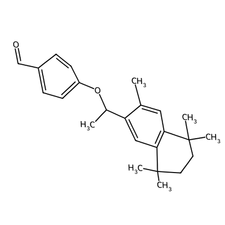 Cc1cc2c(cc1C(C)Oc1ccc(C=O)cc1)C(C)(C)CCC2(C)C